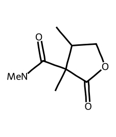 CNC(=O)C1(C)C(=O)OCC1C